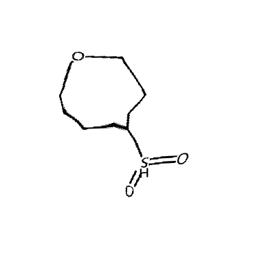 O=[SH](=O)C1CCOCC1